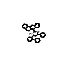 C1=C(c2ccccc2-c2ccccc2)NC(c2c3ccccc3cc3c2ccc2ccccc23)NC1c1ccccc1